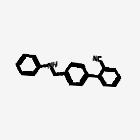 N#Cc1ccccc1-c1ccc(CNc2ccccc2)cc1